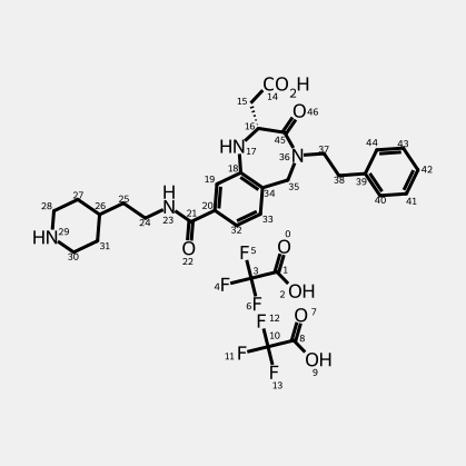 O=C(O)C(F)(F)F.O=C(O)C(F)(F)F.O=C(O)C[C@H]1Nc2cc(C(=O)NCCC3CCNCC3)ccc2CN(CCc2ccccc2)C1=O